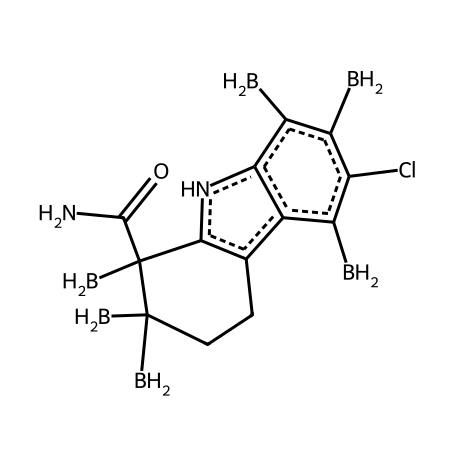 Bc1c(Cl)c(B)c2c3c([nH]c2c1B)C(B)(C(N)=O)C(B)(B)CC3